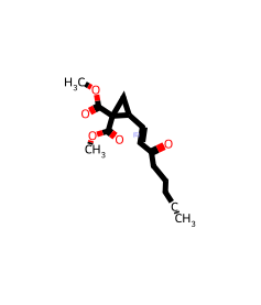 CCCCCC(=O)/C=C/C1CC1(C(=O)OC)C(=O)OC